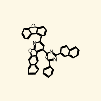 c1ccc(-c2nc(-c3ccc4ccccc4c3)nc(-c3cc(-c4cccc5oc6ccccc6c45)nc4oc5cc6ccccc6cc5c34)n2)cc1